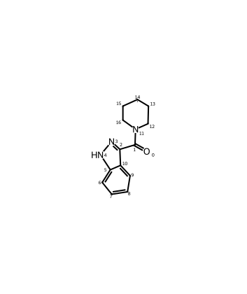 O=C(c1n[nH]c2ccccc12)N1CC[CH]CC1